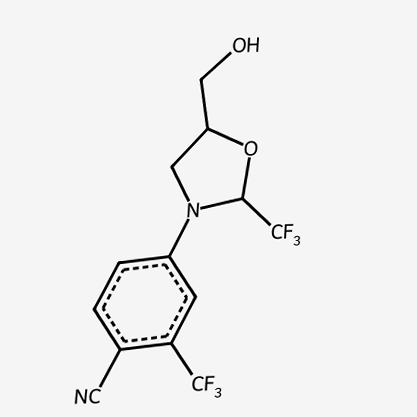 N#Cc1ccc(N2CC(CO)OC2C(F)(F)F)cc1C(F)(F)F